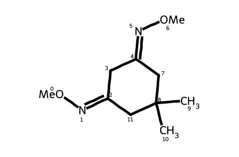 CON=C1CC(=NOC)CC(C)(C)C1